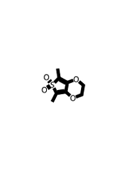 CC1=C2OCCOC2=C(C)S1(=O)=O